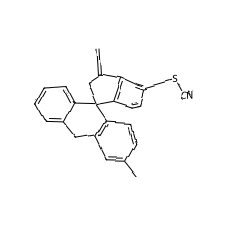 C=C1CC2(c3ccccc3Cc3cc(C)ccc32)c2ccc(SC#N)cc21